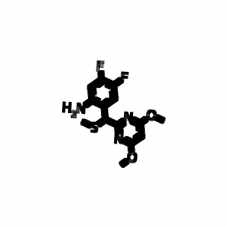 COc1cc(OC)nc(C(SC)c2cc(F)c(F)cc2N)n1